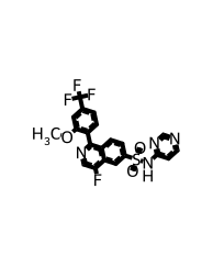 COc1cc(C(F)(F)F)ccc1-c1ncc(F)c2cc(S(=O)(=O)Nc3ccncn3)ccc12